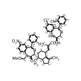 CC1=C2C(/C=C(\C)C(=O)O)CCC(C)C2CC1.COCN1C(=O)CN=C(c2ccccc2)c2cc([N+](=O)[O-])ccc21.O=C1CN=C(c2ccccc2Cl)c2cc(Cl)ccc2N1